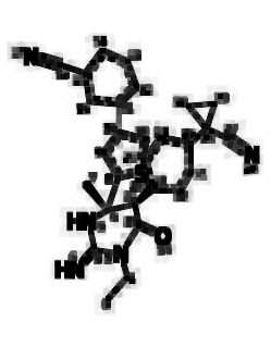 CCN1C(=N)N[C@](C)(c2cc(-c3cccc(C#N)c3)cs2)[C@@H](c2ccc(C3(C#N)CC3)cc2)C1=O